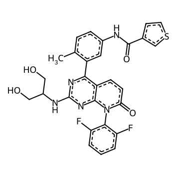 Cc1ccc(NC(=O)c2ccsc2)cc1-c1nc(NC(CO)CO)nc2c1ccc(=O)n2-c1c(F)cccc1F